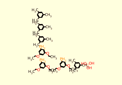 CCOc1cc(P)cc(OCC)c1.CCOc1cc(P)cc(OCC)c1.CCOc1cc(P)cc(OCC)c1.Cc1cc(C)cc(C)c1.Cc1cc(C)cc(C)c1.Cc1cc(C)cc(C)c1.Cc1cc(C)cc(C)c1.OB(O)O